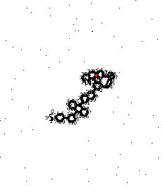 C[Si](C)(C)c1ccc(-c2cccc(-c3c4ccccc4c(-c4ccc5cc(-c6cc(-c7cccc8cccnc78)c7c(c6)C6CCC8CC(C6)CC8c6ccccc6-7)ccc5c4)c4ccccc34)c2)cc1